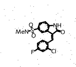 CNS(=O)(=O)c1ccc2c(c1)C(=Cc1ccc(F)cc1Cl)C(=O)N2